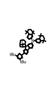 CC(C)(C)c1cc(-c2ccc3c(c2)C2(c4cc(N(c5ccc6c(c5)C(C)(C)CCC6(C)C)c5ccc6c(c5)C(C)(C)CCC6(C)C)ccc4-3)C3CC4CC5CC2C53C4)cc(C(C)(C)C)c1